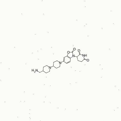 NCC1CCN(C2CCN(c3ccc4c(c3)oc(=O)n4C3CCC(=O)NC3=O)CC2)CC1